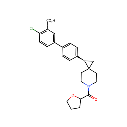 O=C(O)c1cc(-c2ccc([C@H]3CC34CCN(C(=O)C3CCCO3)CC4)cc2)ccc1Cl